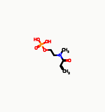 C=CC(=O)N(C)CCOP(=O)(O)O